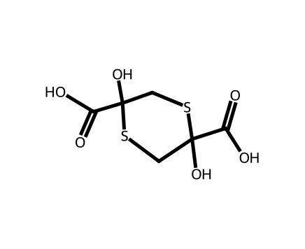 O=C(O)C1(O)CSC(O)(C(=O)O)CS1